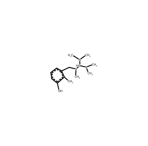 Cc1c(O)cccc1CN(C)[SiH](N(C)C)N(C)C